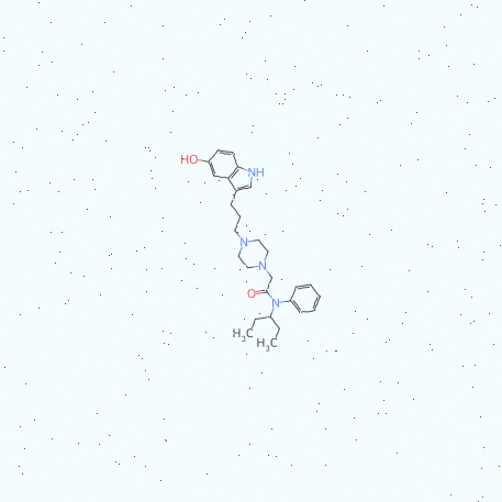 CCC(CC)N(C(=O)CN1CCN(CCCc2c[nH]c3ccc(O)cc23)CC1)c1ccccc1